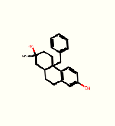 CCCC1(O)CCC2(Cc3c[c]ccc3)c3ccc(O)cc3CCC2C1